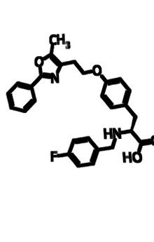 Cc1oc(-c2ccccc2)nc1CCOc1ccc(C[C@H](NCc2ccc(F)cc2)C(=O)O)cc1